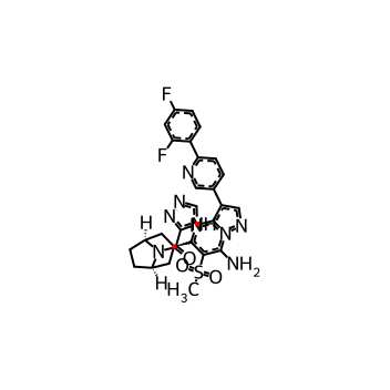 CS(=O)(=O)c1c([C@H]2C[C@H]3CC[C@@H](C2)N3C(=O)c2nnc[nH]2)nc2c(-c3ccc(-c4ccc(F)cc4F)nc3)cnn2c1N